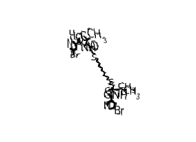 CCC(C)C(NC(=O)c1cncc(Br)c1)C(=O)CCSCCCCCCCCCCSCCC(=O)C(NC(=O)c1cncc(Br)c1)C(C)CC